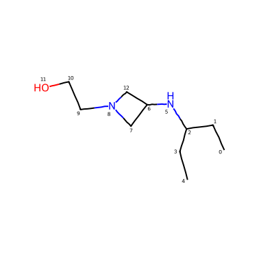 CCC(CC)NC1CN(CCO)C1